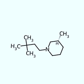 C[C@@H]1CCCN(CCC(C)(C)C)C1